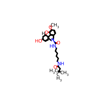 COc1ccc2c3c1O[C@H]1C[C@@H](O)C=C[C@@]31CCN(C(=O)NCCCCCCNC(=O)CC(C)(C)C)C2